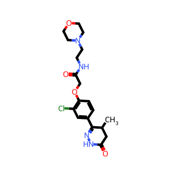 CC1CC(=O)NN=C1c1ccc(OCC(=O)NCCN2CCOCC2)c(Cl)c1